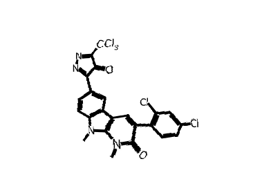 Cn1c(=O)c(-c2ccc(Cl)cc2Cl)cc2c3cc(C4=NN=C(C(Cl)(Cl)Cl)C4=O)ccc3n(C)c21